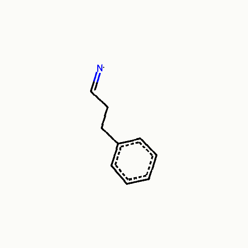 [N]=CCCc1ccccc1